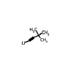 [Li][C]#CC(C)(C)C